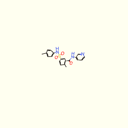 Cc1ccc(NS(=O)(=O)c2ccc(C)c(C(=O)Nc3cccnc3)c2)cc1